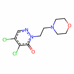 O=c1c(Cl)c(Cl)cnn1CCN1CCOCC1